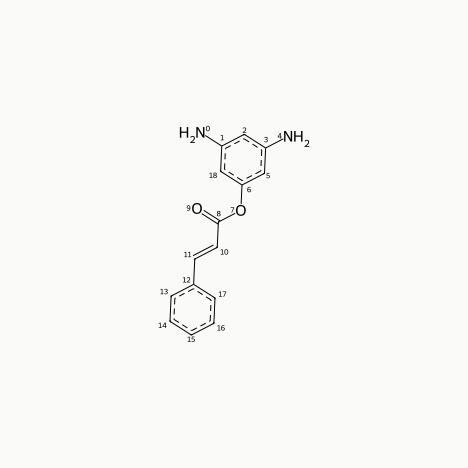 Nc1cc(N)cc(OC(=O)C=Cc2ccccc2)c1